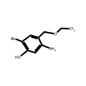 CCC(C)c1cc(COCC(F)(F)F)c(N)cc1O